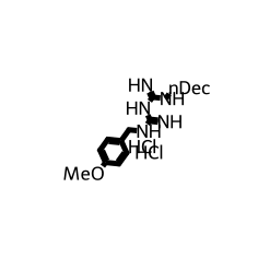 CCCCCCCCCCNC(=N)NC(=N)NCc1ccc(OC)cc1.Cl.Cl